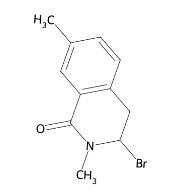 Cc1ccc2c(c1)C(=O)N(C)C(Br)C2